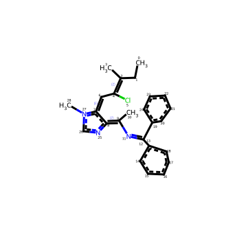 CC/C(C)=C(Cl)/C=c1\c(=C(/C)N=C(c2ccccc2)c2ccccc2)ncn1C